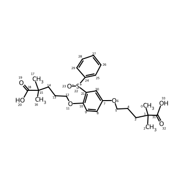 CC(C)(CCCOc1ccc(OCCCC(C)(C)C(=O)O)c([S+]([O-])c2ccccc2)c1)C(=O)O